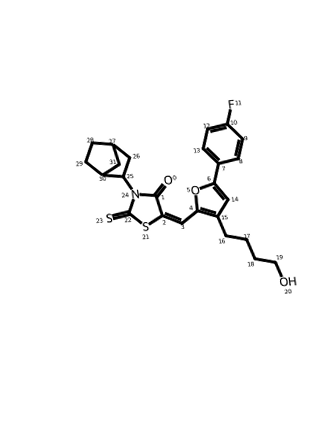 O=C1/C(=C\c2oc(-c3ccc(F)cc3)cc2CCCCO)SC(=S)N1C1CC2CCC1C2